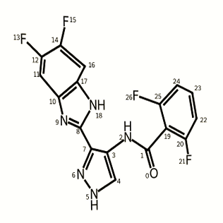 O=C(Nc1c[nH]nc1-c1nc2cc(F)c(F)cc2[nH]1)c1c(F)cccc1F